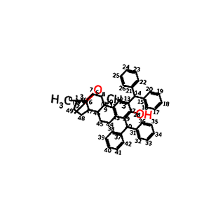 C[C@]12CCC(=O)[C@]13CC[C@]1(C)c4cc(C(c5ccccc5)c5ccccc5)c(O)c(C(c5ccccc5)c5ccccc5)c4CCC1C3CC2